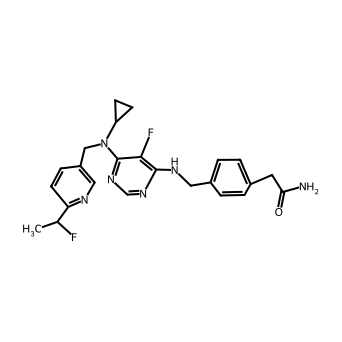 CC(F)c1ccc(CN(c2ncnc(NCc3ccc(CC(N)=O)cc3)c2F)C2CC2)cn1